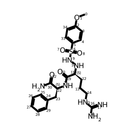 COc1ccc(S(=O)(=O)NN[C@@H](CCCNC(=N)N)C(=O)N[C@@H](Cc2ccccc2)C(N)=O)cc1